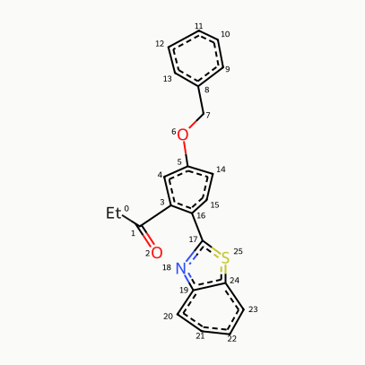 CCC(=O)c1cc(OCc2ccccc2)ccc1-c1nc2ccccc2s1